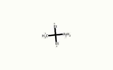 CCC(C)([AsH2])CC